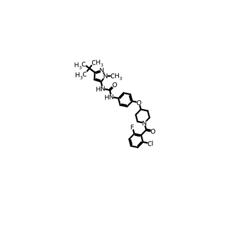 Cn1nc(C(C)(C)C)cc1NC(=O)Nc1ccc(OC2CCN(C(=O)c3c(F)cccc3Cl)CC2)cc1